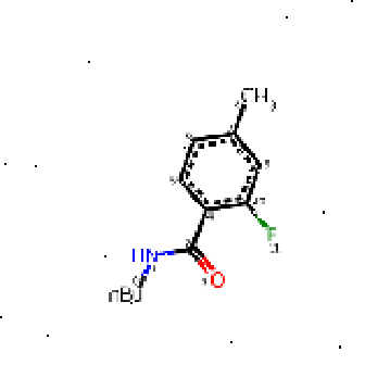 CCCCNC(=O)c1ccc(C)cc1F